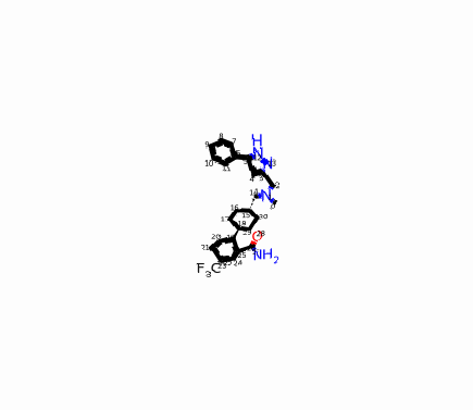 CN(Cc1cc(-c2ccccc2)[nH]n1)C[C@H]1CC[C@H](c2ccc(C(F)(F)F)cc2C(N)=O)CC1